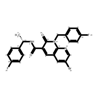 C[C@H](NC(=O)c1cc2cc(Br)cnc2n(Cc2ccc(F)cc2)c1=O)c1ccc(F)cc1